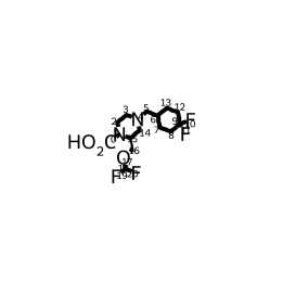 O=C(O)N1CCN(CC2CCC(F)(F)CC2)C[C@H]1COC(F)F